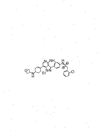 CCn1nc(-c2ccc(NS(=O)(=O)Cc3ccccc3Cl)cc2)c2c(N)ncc(C3=CC[C@H](NC4COC4)CC3)c21